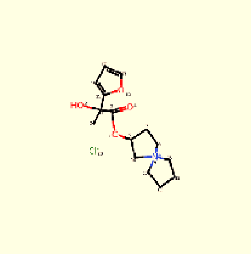 CC(O)(C(=O)OC1CC[N+]2(CCCC2)C1)c1ccco1.[Cl-]